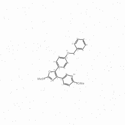 COc1ccc(-c2nc(SC)oc2-c2ccc(OCc3ccccc3)cc2)cn1